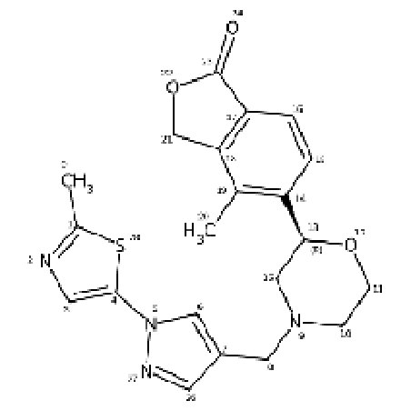 Cc1ncc(-n2cc(CN3CCO[C@H](c4ccc5c(c4C)COC5=O)C3)cn2)s1